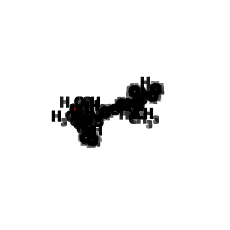 CN[C@@H](C)C(=O)N[C@@H](Cc1ccc(OCc2ccc(C(=O)N[C@H]3C[C@@H](C(=O)N[C@@H]4CCCc5ccccc54)N(C(=O)[C@@H](NC(=O)[C@H](C)NC)C(C)(C)C)C3)cc2)cc1)C(=O)[C@H]1CC=CC[C@@H]1C(=O)N[C@@H]1CCCc2ccccc21